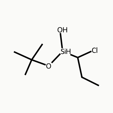 CCC(Cl)[SiH](O)OC(C)(C)C